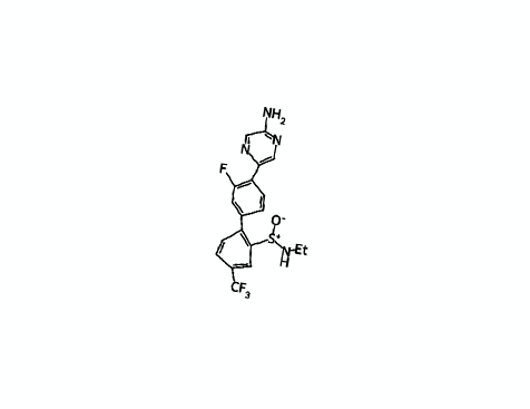 CCN[S+]([O-])c1cc(C(F)(F)F)ccc1-c1ccc(-c2cnc(N)cn2)c(F)c1